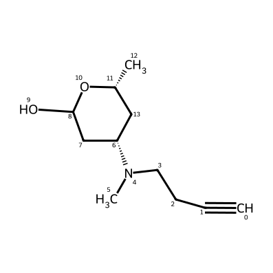 C#CCCN(C)[C@@H]1CC(O)O[C@H](C)C1